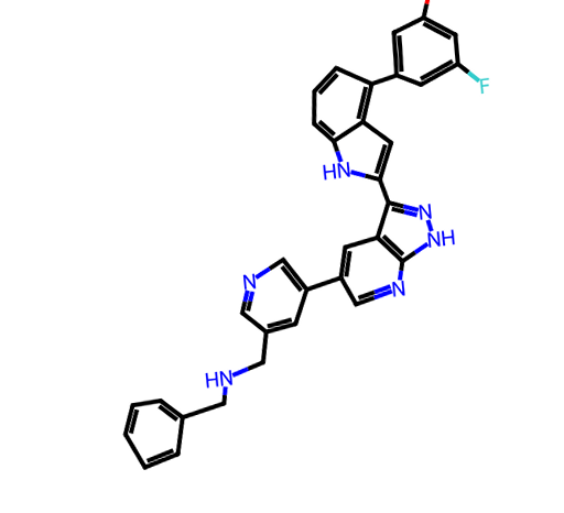 Oc1cc(F)cc(-c2cccc3[nH]c(-c4n[nH]c5ncc(-c6cncc(CNCc7ccccc7)c6)cc45)cc23)c1